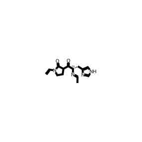 C=CN1CCC(C(=O)[C@H](Cc2c[nH]cn2)N=CC)C1=O